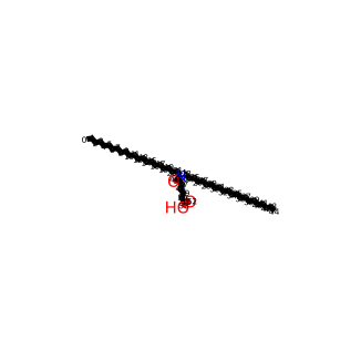 CCCCCCCCCCCCCCCCCCCCCCN(CCCCCCCCCCCCCCCCCCCCCC)C(=O)CCCCC(=O)O